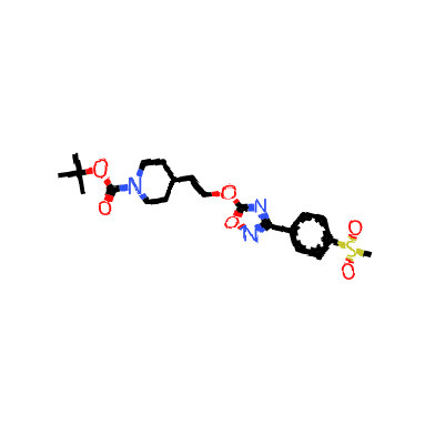 CC(C)(C)OC(=O)N1CCC(CCOc2nc(-c3ccc(S(C)(=O)=O)cc3)no2)CC1